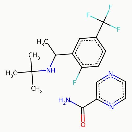 CC(NC(C)(C)C)c1cc(C(F)(F)F)ccc1F.NC(=O)c1cnccn1